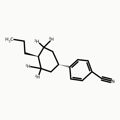 [2H]C1([2H])C[C@H](c2ccc(C#N)cc2)CC([2H])([2H])[C@H]1CCC